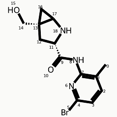 Cc1ccc(Br)nc1NC(=O)[C@@H]1C[C@@]2(CO)CC2N1